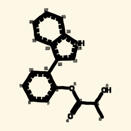 CC(O)C(=O)Oc1ccccc1-c1c[nH]c2ccccc12